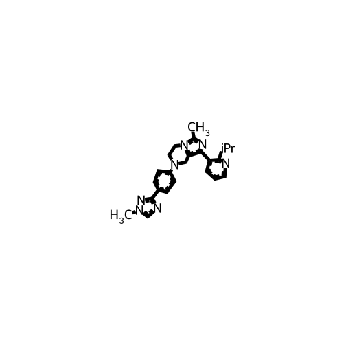 Cc1nc(-c2cccnc2C(C)C)c2n1CCN(c1ccc(-c3ncn(C)n3)cc1)C2